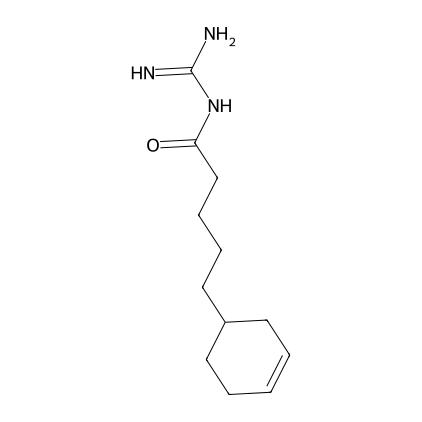 N=C(N)NC(=O)CCCCC1CC=CCC1